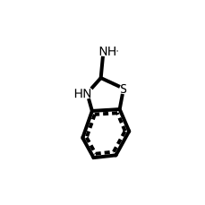 [NH]C1Nc2ccccc2S1